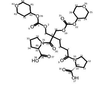 O=C(OCC(CCCC(=O)N1CCC[C@@H]1C(=O)O)(COC(=O)OC1CCOCC1)C(=O)N1CCC[C@@H]1C(=O)O)OC1CCOCC1